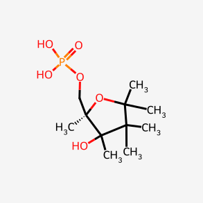 CC1(C)O[C@](C)(COP(=O)(O)O)C(C)(O)C1(C)C